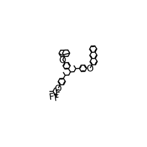 CC(CC(CC(C)c1ccc(Oc2ccc3cc4ccccc4cc3c2)cc1)c1ccc(OC23CC4CC(CC(C4)C2)C3)cc1)c1ccc(OCC(C)C(F)(F)F)cc1